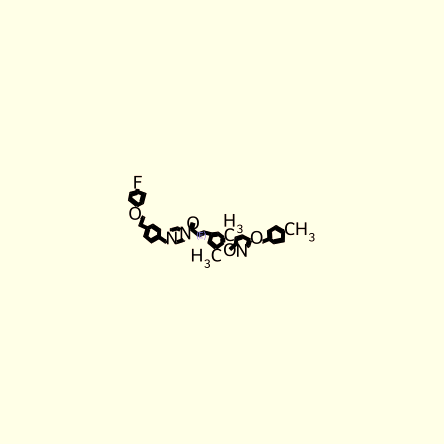 Cc1ccc(COc2ccc(Oc3c(C)cc(/C=C/C(=O)N4CCN(Cc5ccc(CCOc6ccc(F)cc6)cc5)CC4)cc3C)nc2)cc1